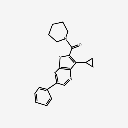 O=C(c1sc2nc(-c3ccccc3)cnc2c1C1CC1)N1CCCCC1